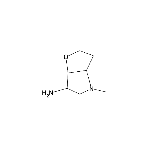 CN1CC(N)C2OCCC21